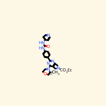 CCOC(=O)N1Cc2nc(-c3ccc(NC(=O)Nc4ccncc4)cc3)nc(N3CCOC[C@@H]3C)c2C1